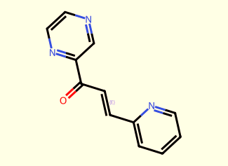 O=C(/C=C/c1ccccn1)c1cnccn1